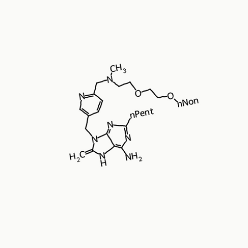 C=C1Nc2c(N)nc(CCCCC)nc2N1Cc1ccc(CN(C)CCOCCOCCCCCCCCC)nc1